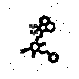 CC1(C)/C(=C\C=C2\C=C(C#N)C(=O)N(CCc3ccccc3)C2=O)N2CCCc3cccc1c32